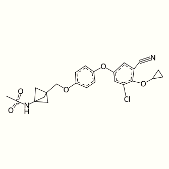 CS(=O)(=O)NC12CC(COc3ccc(Oc4cc(Cl)c(OC5CC5)c(C#N)c4)cc3)(C1)C2